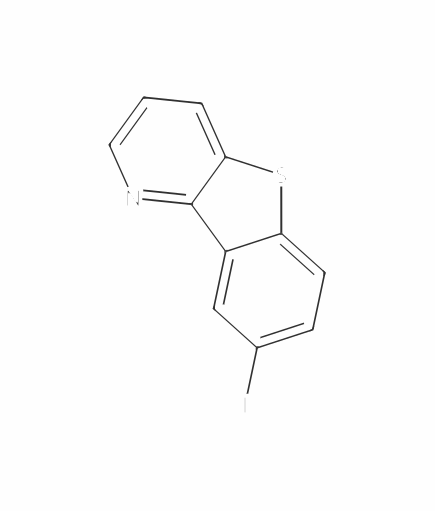 Ic1ccc2sc3cccnc3c2c1